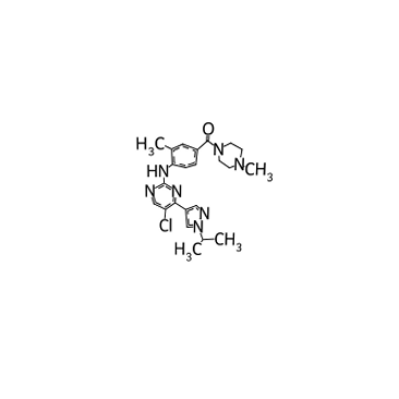 Cc1cc(C(=O)N2CCN(C)CC2)ccc1Nc1ncc(Cl)c(-c2cnn(C(C)C)c2)n1